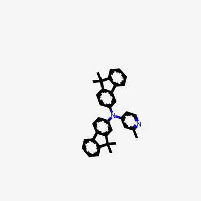 Cc1cc(N(c2ccc3c(c2)-c2ccccc2C3(C)C)c2ccc3c(c2)C(C)(C)c2ccccc2-3)ccn1